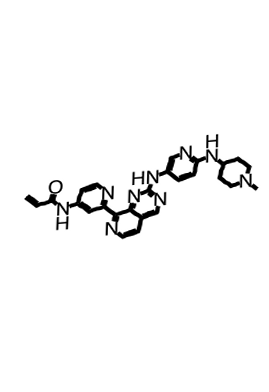 C=CC(=O)Nc1ccnc(-c2nccc3cnc(Nc4ccc(NC5CCN(C)CC5)nc4)nc23)c1